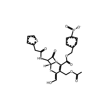 CC(=O)OCC1=C(C(=O)OCc2ccc([N+](=O)[O-])cc2)N2C(=O)C(NC(=O)Cc3cccs3)[C@H]2S/C1=C\O